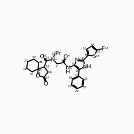 CC(C)N(CC(=O)Nc1nc(-c2ccc(F)s2)[nH]c1-c1ccccc1)C(=O)C1CC(=O)OC12CCCCC2